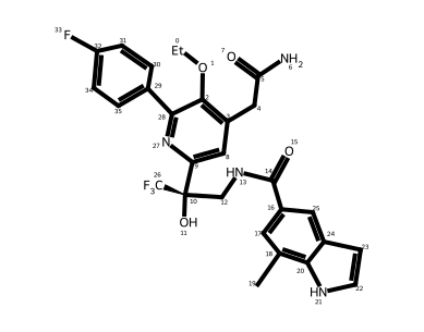 CCOc1c(CC(N)=O)cc([C@@](O)(CNC(=O)c2cc(C)c3[nH]ccc3c2)C(F)(F)F)nc1-c1ccc(F)cc1